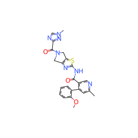 COc1ccccc1-c1cc(C)ncc1C(=O)Nc1nc2c(s1)CN(C(=O)c1ncn(C)n1)C2